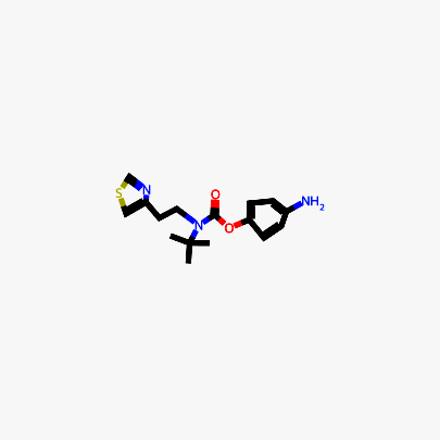 CC(C)(C)N(CCc1cscn1)C(=O)Oc1ccc(N)cc1